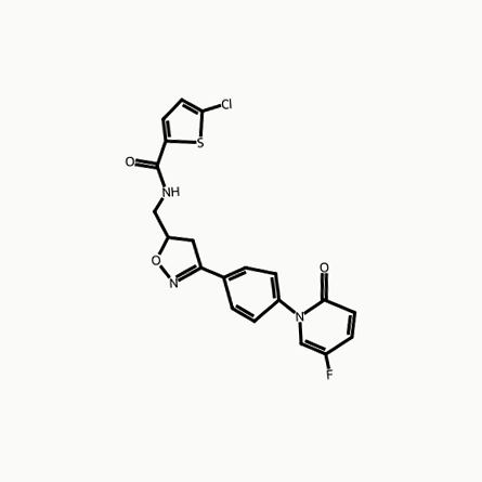 O=C(NCC1CC(c2ccc(-n3cc(F)ccc3=O)cc2)=NO1)c1ccc(Cl)s1